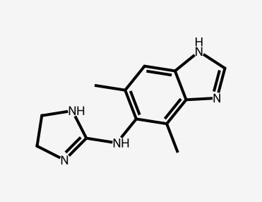 Cc1cc2[nH]cnc2c(C)c1NC1=NCCN1